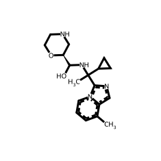 Cc1cccn2c(C(C)(NC(O)[C@@H]3CNCCO3)C3CC3)ncc12